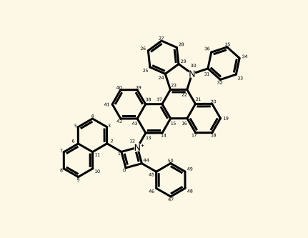 C1=C(c2cccc3ccccc23)[N+](c2cc3c4ccccc4c4c(c5ccccc5n4-c4ccccc4)c3c3ccccc23)=C1c1ccccc1